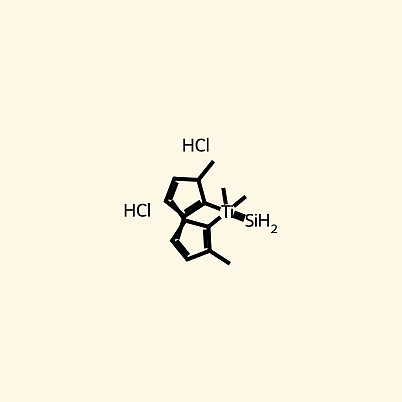 CC1=[C]([Ti]([CH3])([CH3])(=[SiH2])[C]2=C(C)C=CC2C)C(C)C=C1.Cl.Cl